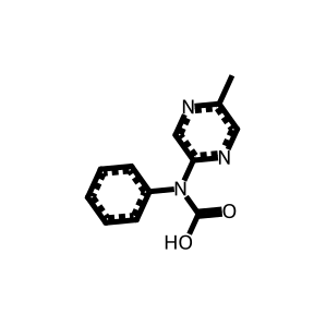 Cc1cnc(N(C(=O)O)c2ccccc2)cn1